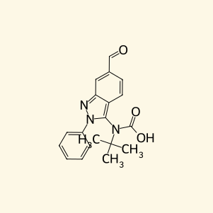 CC(C)(C)N(C(=O)O)c1c2ccc(C=O)cc2nn1-c1ccccc1